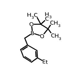 CCc1cccc(CB2OC(C)(C)C(C)(C)O2)c1